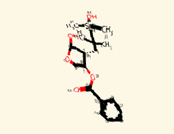 CC(C)(C[C@H]1C(O)OC[C@@H]1OC(=O)c1ccccc1)[Si](C)(C)O